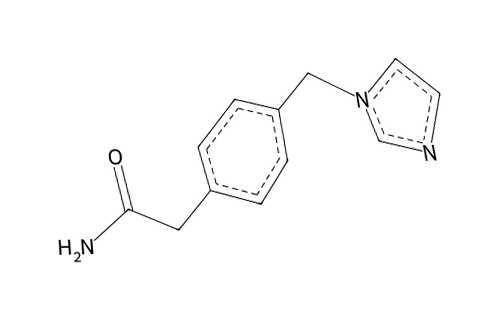 NC(=O)Cc1ccc(Cn2ccnc2)cc1